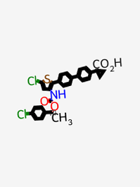 C[C@@H](OC(=O)Nc1cc(Cl)sc1-c1ccc(-c2ccc(C3(C(=O)O)CC3)cc2)cc1)c1ccc(Cl)cc1